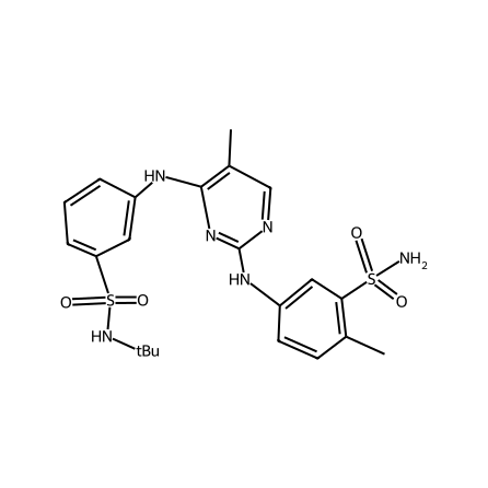 Cc1ccc(Nc2ncc(C)c(Nc3cccc(S(=O)(=O)NC(C)(C)C)c3)n2)cc1S(N)(=O)=O